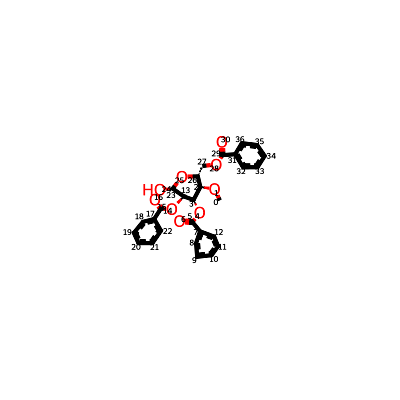 CO[C@H]1[C@H](OC(=O)c2ccccc2)[C@@H](OC(=O)c2ccccc2)[C@@H](O)O[C@@H]1COC(=O)c1ccccc1